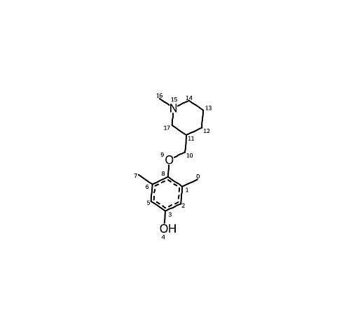 Cc1cc(O)cc(C)c1OCC1CCCN(C)C1